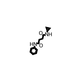 O=C(CCC(=O)NC1CC1)Nc1ccccc1